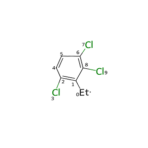 C[CH]c1c(Cl)ccc(Cl)c1Cl